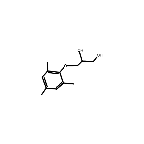 Cc1cc(C)c(OCC(O)CO)c(C)c1